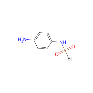 CCS(=O)(=O)Nc1ccc(N)cc1